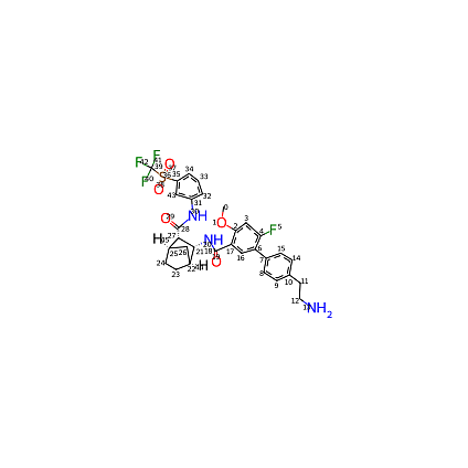 COc1cc(F)c(-c2ccc(CCN)cc2)cc1C(=O)N[C@@H]1[C@H]2CC[C@H](C2)[C@@H]1C(=O)Nc1cccc(S(=O)(=O)C(F)(F)F)c1